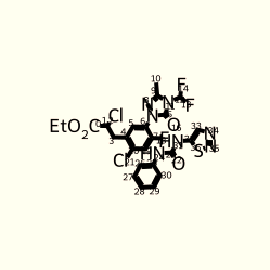 CCOC(=O)C(Cl)Cc1cc(-n2nc(C)n(C(F)F)c2=O)c(F)cc1Cl.O=C(Nc1ccccc1)Nc1cnns1